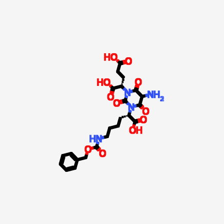 NC1C(=O)N([C@@H](CCCCNC(=O)OCc2ccccc2)C(=O)O)C(=O)N([C@@H](CCC(=O)O)C(=O)O)C1=O